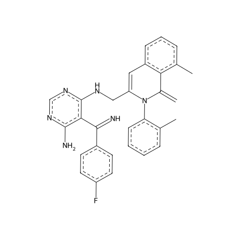 C=C1c2c(C)cccc2C=C(CNc2ncnc(N)c2C(=N)c2ccc(F)cc2)N1c1ccccc1C